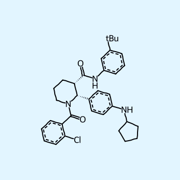 CC(C)(C)c1cccc(NC(=O)[C@H]2CCCN(C(=O)c3ccccc3Cl)[C@H]2c2ccc(NC3CCCC3)cc2)c1